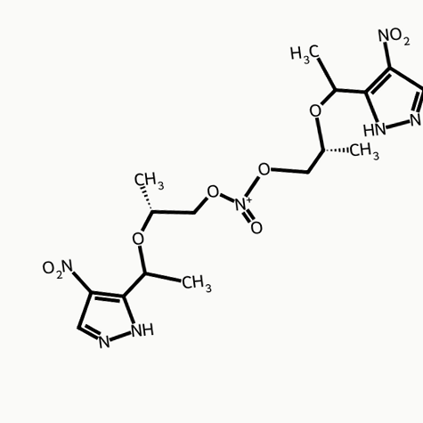 CC(O[C@H](C)CO[N+](=O)OC[C@@H](C)OC(C)c1[nH]ncc1[N+](=O)[O-])c1[nH]ncc1[N+](=O)[O-]